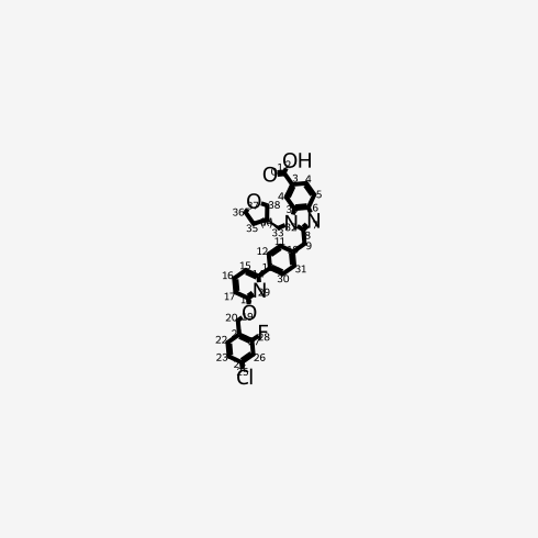 O=C(O)c1ccc2nc(Cc3ccc(-c4cccc(OCc5ccc(Cl)cc5F)n4)cc3)n(C[C@H]3CCOC3)c2c1